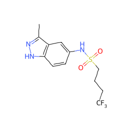 Cc1n[nH]c2ccc(NS(=O)(=O)CCCC(F)(F)F)cc12